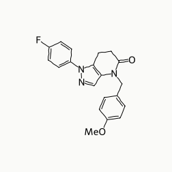 COc1ccc(CN2C(=O)CCc3c2cnn3-c2ccc(F)cc2)cc1